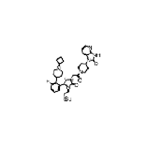 CC(C)(C)CCN1C(=O)[C@H](CC(=O)N2CCC(n3c(=O)[nH]c4ncccc43)CC2)SC1c1cccc(F)c1C1CCN(C2CCC2)CC1